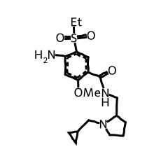 CCS(=O)(=O)c1cc(C(=O)NCC2CCCN2CC2CC2)c(OC)cc1N